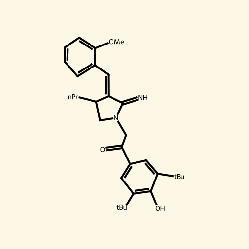 CCCC1CN(CC(=O)c2cc(C(C)(C)C)c(O)c(C(C)(C)C)c2)C(=N)/C1=C/c1ccccc1OC